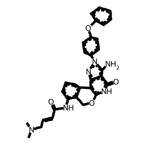 CN(C)C/C=C/C(=O)Nc1cccc2c1COc1[nH]c(=O)c3c(N)n(-c4ccc(Oc5ccccc5)cc4)nc3c1-2